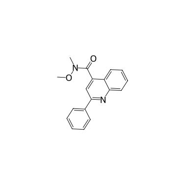 CON(C)C(=O)c1cc(-c2ccccc2)nc2ccccc12